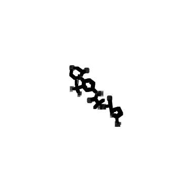 CC(C)(NC(=O)c1ccc(Br)s1)C(=O)Nc1ccc(N2CCOCC2=O)c(C(F)(F)F)c1